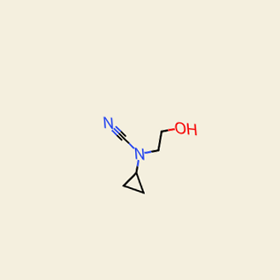 N#CN(CCO)C1CC1